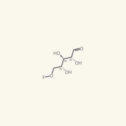 O=C[C@H](O)[C@H](O)[C@H](O)COF